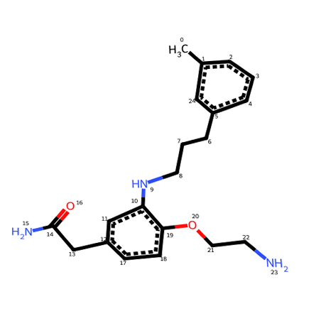 Cc1cccc(CCCNc2cc(CC(N)=O)ccc2OCCN)c1